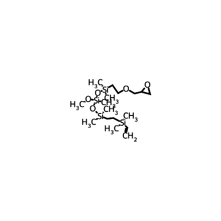 C=C[Si](C)(C)CC[Si](C)(C)O[Si](C)(OC)O[Si](C)(C)CCOCC1CO1